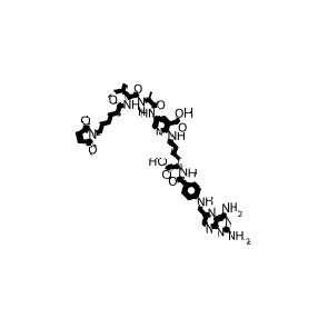 CC(C)[C@H](NC(=O)CCCCCN1C(=O)C=CC1=O)C(=O)N[C@@H](C)C(=O)Nc1cnc(NCCCC[C@H](NC(=O)c2ccc(NCc3cnc4nc(N)nc(N)c4n3)cc2)C(=O)O)c(C(=O)O)c1